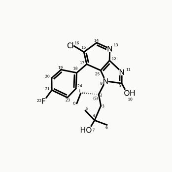 CC[C@@H](CC(C)(C)O)n1c(O)nc2ncc(Cl)c(-c3ccc(F)cc3)c21